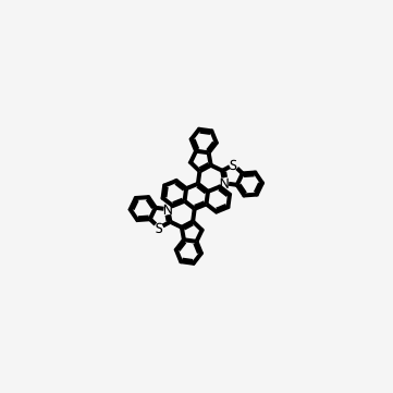 c1ccc2c(c1)CC(c1c3ccccc3c(C3=C(c4nc5ccccc5s4)c4ccccc4C3)c3ccccc13)=C2c1nc2ccccc2s1